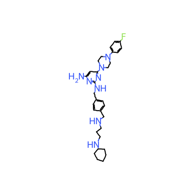 Nc1cc(N2CCN(c3ccc(F)cc3)CC2)nc(NCc2ccc(CNCCCNC3CCCCC3)cc2)n1